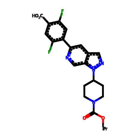 CC(C)OC(=O)N1CCC(n2ncc3cc(-c4cc(F)c(C(=O)O)cc4F)ncc32)CC1